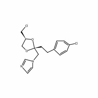 ClC[C@@H]1CO[C@@](CCc2ccc(Cl)cc2)(Cn2ccnc2)O1